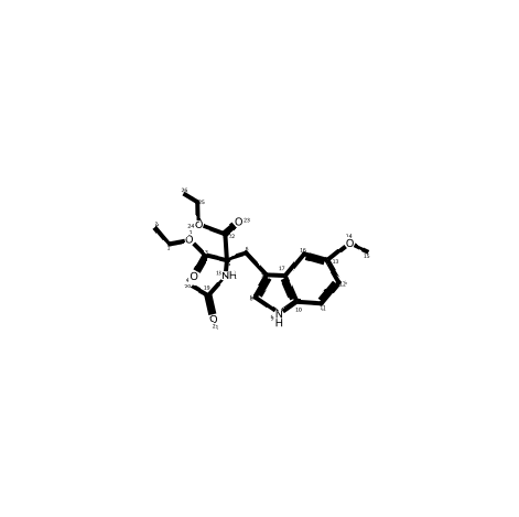 CCOC(=O)C(Cc1c[nH]c2ccc(OC)cc12)(NC(C)=O)C(=O)OCC